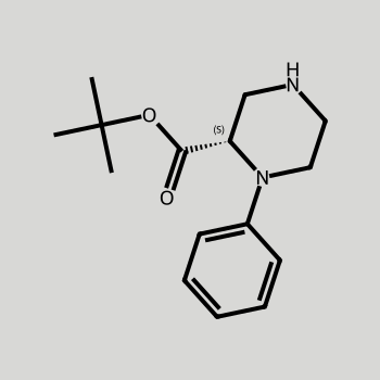 CC(C)(C)OC(=O)[C@@H]1CNCCN1c1ccccc1